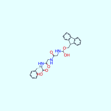 O=C(CNC(O)OCC1c2ccccc2-c2ccccc21)NCC(=O)N[C@@H](Cc1ccccc1)C(=O)O